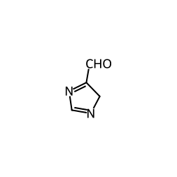 O=CC1=NC=NC1